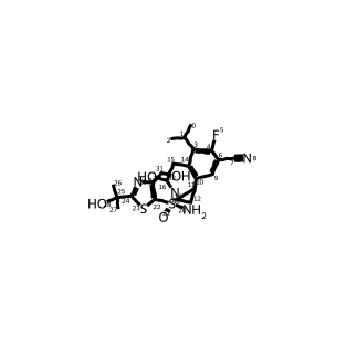 CC(C)c1c(F)c(C#N)cc(C2CC2)c1CC(O)N=S(N)(=O)c1sc(C(C)(C)O)nc1CO